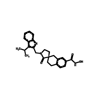 CC(C)n1c(CN2CC[C@@]3(CCc4ccc(C(=O)NO)cc4C3)C2=O)nc2ccccc21